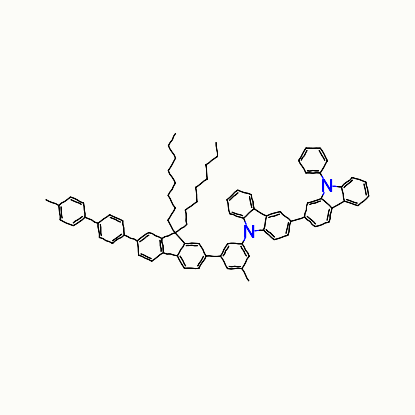 CCCCCCCCC1(CCCCCCCC)c2cc(-c3ccc(-c4ccc(C)cc4)cc3)ccc2-c2ccc(-c3cc(C)cc(-n4c5ccccc5c5cc(-c6ccc7c8ccccc8n(-c8ccccc8)c7c6)ccc54)c3)cc21